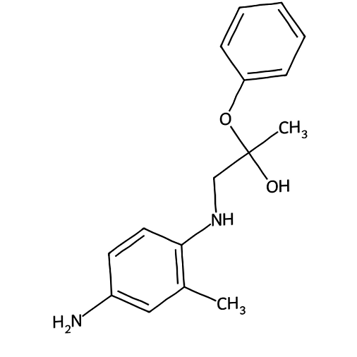 Cc1cc(N)ccc1NCC(C)(O)Oc1ccccc1